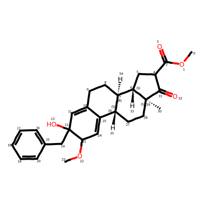 COC(=O)C1C[C@H]2[C@@H]3CCC4=CC(O)(Cc5ccccc5)C(OC)C=C4[C@H]3CC[C@]2(C)C1=O